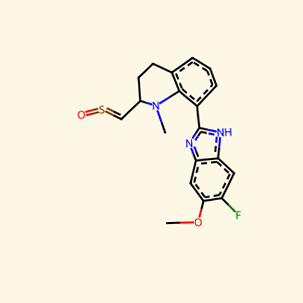 COc1cc2nc(-c3cccc4c3N(C)C(C=S=O)CC4)[nH]c2cc1F